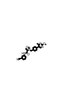 COc1ncc(-c2ccc(C[n+]3no[c]c3C(=O)Nc3cccc(C#N)c3)cc2)c(C)n1